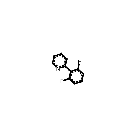 Fc1cccc(F)c1-c1c[c]ccn1